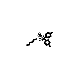 CCCCCCOP(=O)(O)OC(C)(c1ccc(C)cc1)c1ccc(C)cc1